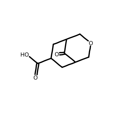 O=C(O)C1CC2COCC(C1)C2=O